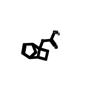 CC(=O)OC12CCC1C1C=CC2C1